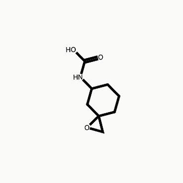 O=C(O)NC1CCCC2(CO2)C1